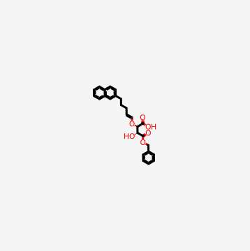 O=C(OCc1ccccc1)[C@H](O)[C@@H](OC=CCCCc1ccc2ccccc2c1)C(=O)O